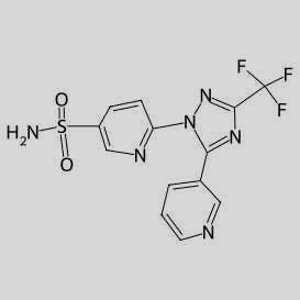 NS(=O)(=O)c1ccc(-n2nc(C(F)(F)F)nc2-c2cccnc2)nc1